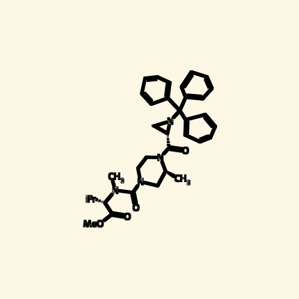 COC(=O)[C@H](C(C)C)N(C)C(=O)N1CCN(C(=O)[C@@H]2CN2C(c2ccccc2)(c2ccccc2)c2ccccc2)[C@@H](C)C1